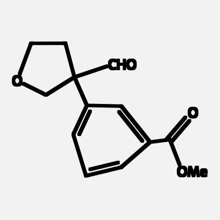 COC(=O)c1cccc(C2(C=O)CCOC2)c1